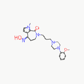 COc1ccccc1N1CCN(CCCN2CC/C(=N/O)c3ccn(C)c3C2=O)CC1